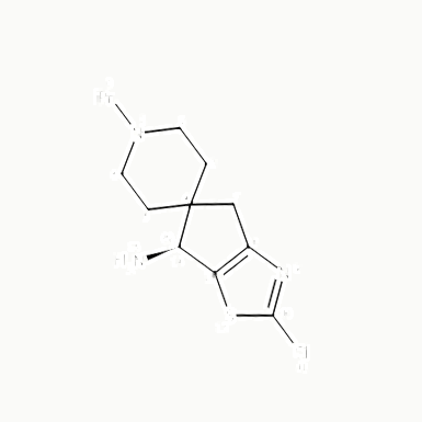 CC(C)N1CCC2(CC1)Cc1nc(Cl)sc1[C@H]2N